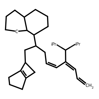 C=C/C=C(\C=C/CC(CC1CC2=C1CCC2)C1CCCC2CCCCC21)C(C(C)C)C(C)C